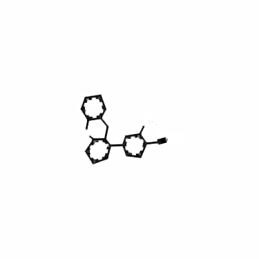 C#Cc1ccc(-c2cccc3c2Cc2ccccc2O3)cc1C